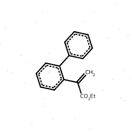 C=C(C(=O)OCC)c1ccccc1-c1ccccc1